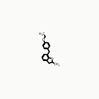 CCOc1ccc(Cc2cccc3c2OC(C)C3)cc1